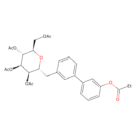 CCC(=O)Oc1cccc(-c2cccc(C[C@H]3O[C@H](COC(C)=O)[C@@H](OC(C)=O)[C@H](OC(C)=O)[C@@H]3OC(C)=O)c2)c1